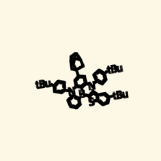 CC(C)(C)c1ccc(N2c3ccccc3B3c4sc5ccc(C(C)(C)C)cc5c4N(c4ccc(C(C)(C)C)cc4)c4cc(C56CC7CC(C5)C(C7)C6)cc2c43)cc1